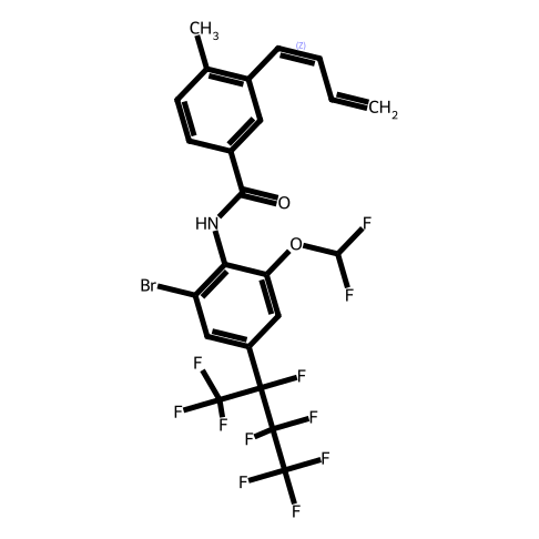 C=C/C=C\c1cc(C(=O)Nc2c(Br)cc(C(F)(C(F)(F)F)C(F)(F)C(F)(F)F)cc2OC(F)F)ccc1C